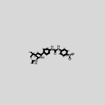 C=CNC1NC(c2ccc(NC(=O)Nc3ccc([N+](=O)[O-])cc3)cc2)=CC1=C(C)C